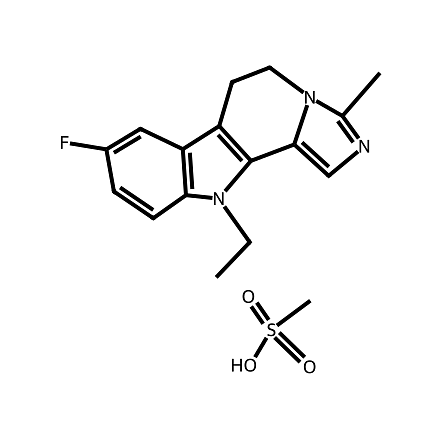 CCn1c2c(c3cc(F)ccc31)CCn1c-2cnc1C.CS(=O)(=O)O